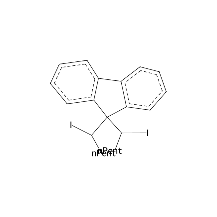 CCCCCC(I)C1(C(I)CCCCC)c2ccccc2-c2ccccc21